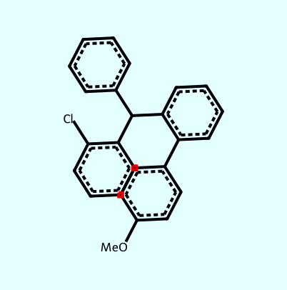 COc1ccc(-c2ccccc2C(c2ccccc2)c2ccccc2Cl)cc1